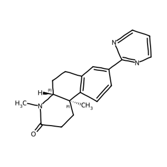 CN1C(=O)CC[C@]2(C)c3ccc(-c4ncccn4)cc3CC[C@@H]12